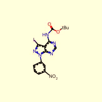 CC(C)(C)OC(=O)Nc1ncnc2c1c(I)nn2-c1cccc([N+](=O)[O-])c1